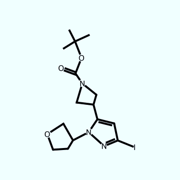 CC(C)(C)OC(=O)N1CC(c2cc(I)nn2C2CCOC2)C1